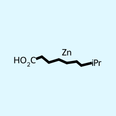 CC(C)CCCCCCC(=O)O.[Zn]